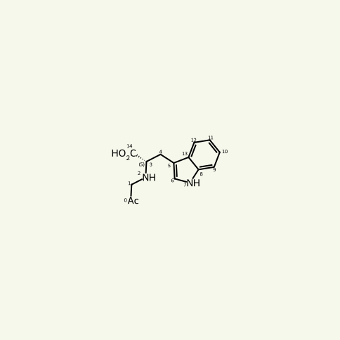 CC(=O)CN[C@@H](Cc1c[nH]c2ccccc12)C(=O)O